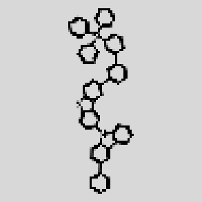 c1ccc(-c2ccc3c(c2)c2ccccc2n3-c2ccc3sc4ccc(-c5cccc(-c6cccc([Si](c7ccccc7)(c7ccccc7)c7ccccc7)c6)c5)cc4c3c2)cc1